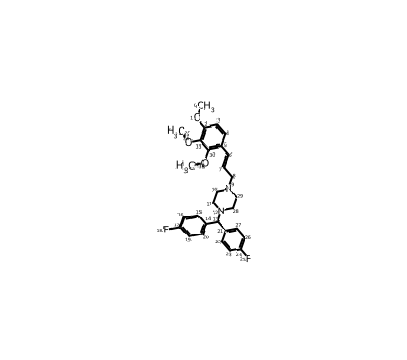 COc1ccc(C=CCN2CCN(C(c3ccc(F)cc3)c3ccc(F)cc3)CC2)c(OC)c1OC